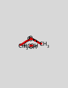 CCCCCCCCCCCCCCCC(=O)OC(=O)CCCCCCCCCCCCCCC.OCC(O)CO